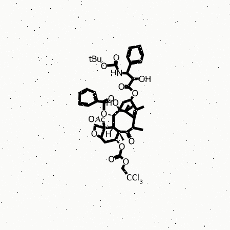 CC(=O)OC12COC1C[C@H](OC(=O)OCC(Cl)(Cl)Cl)[C@@]1(C)C(=O)C(C)C3=C(C)C(OC(=O)C(O)C(NC(=O)OC(C)(C)C)c4ccccc4)C[C@@](O)([C@@H](OC(=O)c4ccccc4)[C@H]21)C3(C)C